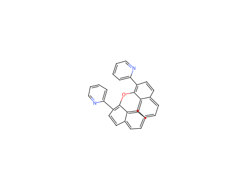 c1ccc(-c2ccc3ccccc3c2Oc2c(-c3ccccn3)ccc3ccccc23)nc1